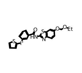 CCOCOc1ccc2nc(NC(=O)c3cccc([I+]c4cccs4)c3)sc2c1